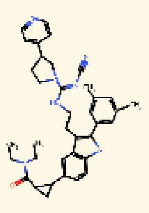 CCN(CC)C(=O)C1CC1c1ccc2[nH]c(-c3cc(C)cc(C)c3)c(CCNC(=NC#N)N3CCC(c4ccncc4)C3)c2c1